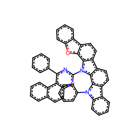 c1ccc(-c2nc(-n3c4c(ccc5c6ccccc6oc54)c4ccc5c6ccccc6n(-c6ccccc6)c5c43)nc3ccc4ccccc4c23)cc1